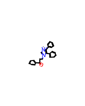 O=C(CCN1C=[N+]C(c2ccccc2)=C1c1ccccc1)c1ccccc1